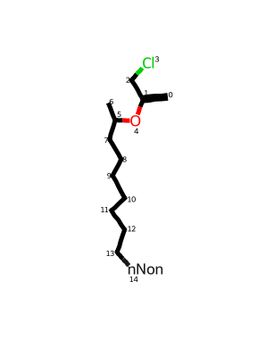 C=C(CCl)OC(C)CCCCCCCCCCCCCCCC